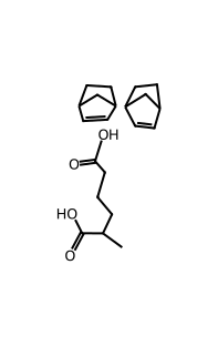 C1=CC2CCC1C2.C1=CC2CCC1C2.CC(CCCC(=O)O)C(=O)O